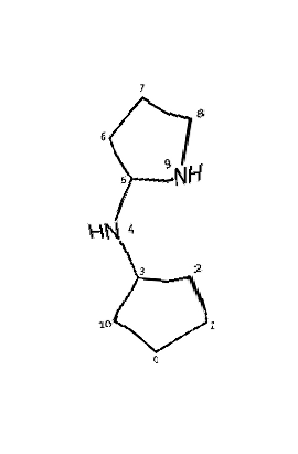 C1CCC(NC2CCCN2)C1